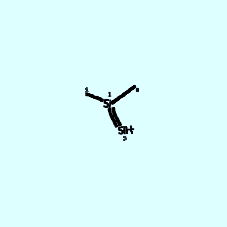 C[Si](C)=[SiH]